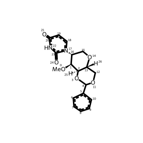 CO[C@@H]1[C@@H]2OC(c3ccccc3)OC[C@H]2OC[C@H]1n1ccc(=O)[nH]c1=O